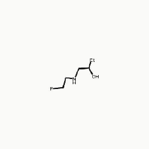 CCC(O)CNCCF